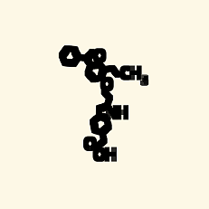 CCCc1c(OCCc2cc3ccc(CC(=O)O)cc3[nH]2)ccc2c(-c3ccccc3)coc12